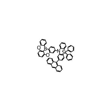 c1ccc([Si]2(c3ccccc3)c3ccccc3N(c3ccc4c(c3)Oc3cccc5c3B4c3ccccc3O5)c3cc(-c4c5ccccc5cc5ccccc45)ccc32)cc1